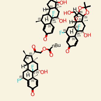 CC(=O)[C@@]1(O)CC[C@H]2[C@@H]3C[C@H](C)C4=CC(=O)C=C[C@]4(C)[C@@]3(F)[C@@H](O)C[C@@]21C.CC1(C)O[C@@H]2C[C@H]3[C@@H]4C[C@H](F)C5=CC(=O)C=C[C@]5(C)[C@@]4(F)[C@@H](O)C[C@]3(C)[C@]2(C(=O)CO)O1.CCCCC(=O)OCC(=O)[C@H]1[C@H](C)C[C@H]2[C@@H]3C[C@H](F)C4=CC(=O)C=C[C@]4(C)[C@@]3(F)[C@@H](O)C[C@@]21C